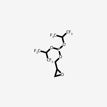 FC(F)(F)C(OP(OCC1CO1)OC(C(F)(F)F)C(F)(F)F)C(F)(F)F